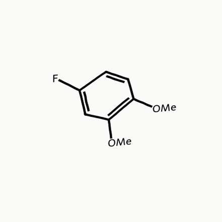 [CH2]Oc1cc(F)ccc1OC